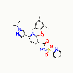 Cc1cc(C)c(Oc2nc(-c3cnn(C(C)C)c3)ccc2C(=O)NS(=O)(=O)c2ccccn2)c(C)c1